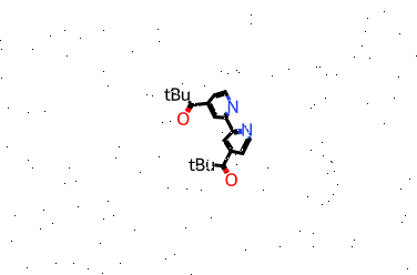 CC(C)(C)C(=O)c1ccnc(-c2cc(C(=O)C(C)(C)C)ccn2)c1